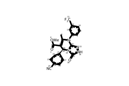 COC(=O)C1=C(C)N(c2cccc(C(F)(F)F)c2)c2n[nH]c(=O)n2[C@H]1c1ccc(C#N)cc1